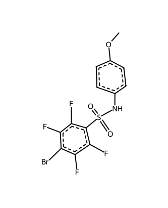 COc1ccc(NS(=O)(=O)c2c(F)c(F)c(Br)c(F)c2F)cc1